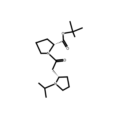 CC(C)N1CCC[C@H]1CC(=O)N1CCC[C@@H]1C(=O)OC(C)(C)C